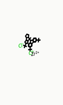 CC(C)(C)C1=CC2=C(C1)C1CCCC1C2(C)C1c2ccc(C(C)(C)C)cc2-c2cc(C(C)(C)C)ccc21.[Cl-].[Cl-].[Zr+2]